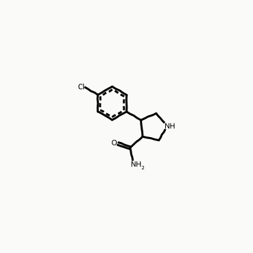 NC(=O)C1CNCC1c1ccc(Cl)cc1